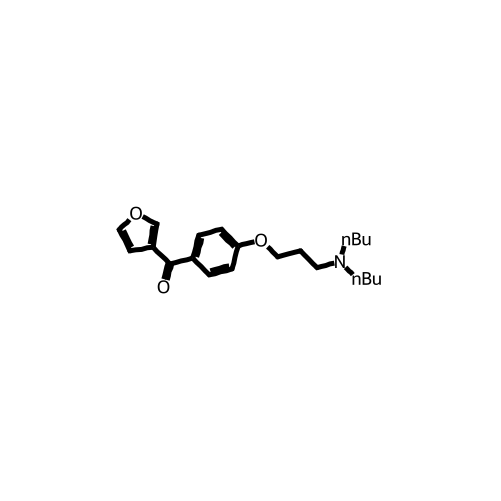 CCCCN(CCCC)CCCOc1ccc(C(=O)c2ccoc2)cc1